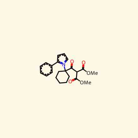 COC(=O)C(C(=O)OC)C(=O)C1(n2cccc2-c2ccccc2)CCCCC1